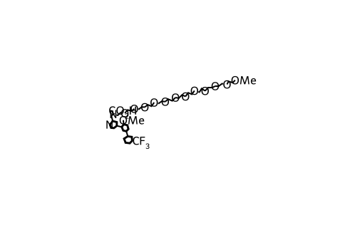 COCCOCCOCCOCCOCCOCCOCCOCCOCCOCCOCCOCCN(Cc1cc(-c2cc(-c3cccc(C(F)(F)F)c3)ccc2OC)ccn1)C(=O)O